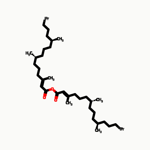 C/C(=C\C(=O)OC(=O)/C=C(\C)CCC[C@H](C)CCC[C@H](C)CCCC(C)C)CCC[C@H](C)CCC[C@H](C)CCCC(C)C